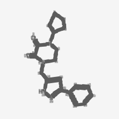 O=C1C(=O)N(C2CCCC2)CCN1Cc1cc(-c2ccccc2)n[nH]1